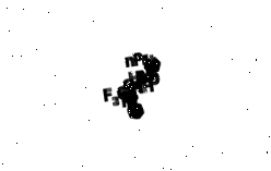 CCCN1CCCC(C(=O)NCCNC(=O)c2cn(-c3ccccc3)nc2C(F)(F)F)C1